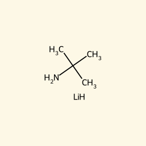 CC(C)(C)N.[LiH]